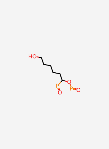 O=POC(CCCCCO)P=O